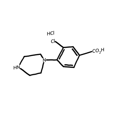 Cl.O=C(O)c1ccc(N2CCNCC2)c(Cl)c1